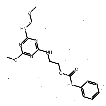 COCNc1nc(NCCOC(=O)Nc2ccccc2)nc(OC)n1